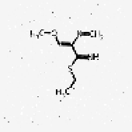 C=N/C(=C\OC)C(=N)SCC